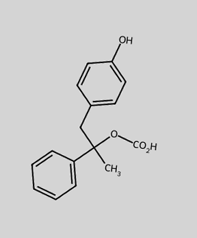 CC(Cc1ccc(O)cc1)(OC(=O)O)c1ccccc1